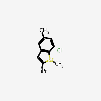 Cc1ccc2c(c1)cc(C(C)C)[s+]2C(F)(F)F.[Cl-]